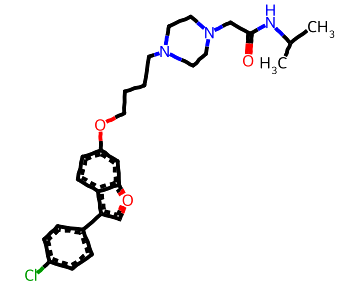 CC(C)NC(=O)CN1CCN(CCCCOc2ccc3c(-c4ccc(Cl)cc4)coc3c2)CC1